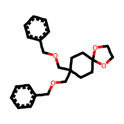 c1ccc(COCC2(COCc3ccccc3)CCC3(CC2)OCCO3)cc1